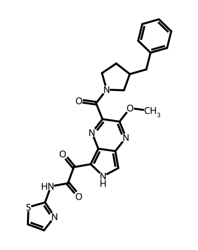 COc1nc2c[nH]c(C(=O)C(=O)Nc3nccs3)c2nc1C(=O)N1CCC(Cc2ccccc2)C1